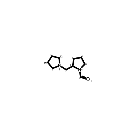 O=[C]N1CCCC1CN1CCCC1